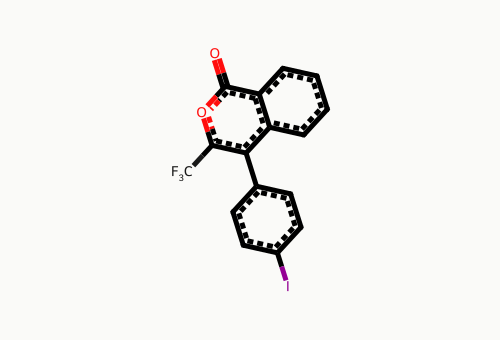 O=c1oc(C(F)(F)F)c(-c2ccc(I)cc2)c2ccccc12